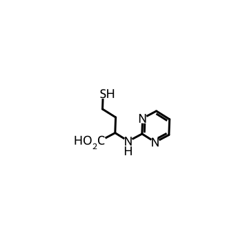 O=C(O)C(CCS)Nc1ncccn1